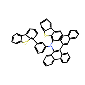 c1cc(-c2cccc3c2sc2ccccc23)cc(N(c2c(-c3ccc4ccccc4c3)c3ccccc3c3ccccc23)c2cccc3c2sc2ccccc23)c1